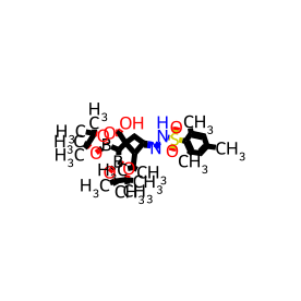 Cc1cc(C)c(S(=O)(=O)NN=C2CC(C(=O)O)(C(B3OC(C)(C)C(C)(C)O3)B3OC(C)(C)C(C)(C)O3)C2C(C)C)c(C)c1